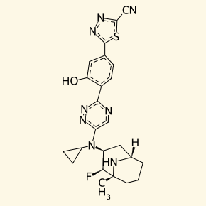 C[C@@]12CCC[C@@H](C[C@H](N(c3cnc(-c4ccc(-c5nnc(C#N)s5)cc4O)nn3)C3CC3)[C@@H]1F)N2